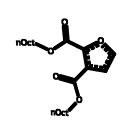 CCCCCCCCOC(=O)c1ccoc1C(=O)OCCCCCCCC